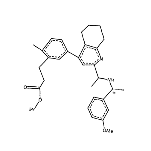 COc1cccc([C@@H](C)NC(C)c2cc(-c3ccc(C)c(CCC(=O)OC(C)C)c3)c3c(n2)CCCC3)c1